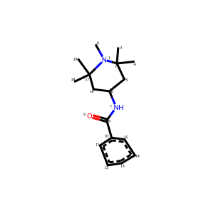 CN1C(C)(C)CC(NC(=O)c2ccccc2)CC1(C)C